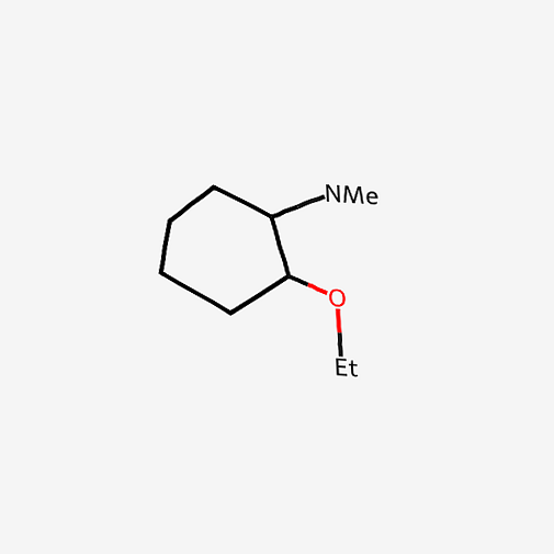 CCOC1CCCCC1NC